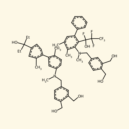 CCC(O)(CC)c1ccc(-c2cc(N(C)Cc3ccc(CO)c(CO)c3)ccc2C)c(C)c1.Cc1cc(-c2ccccc2)c(C(O)(F)C(F)(F)C(F)(F)F)c(N(C)Cc2ccc(CO)c(CO)c2)c1C